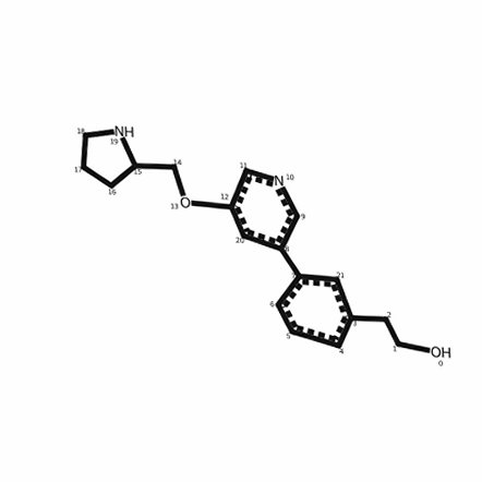 OCCc1cccc(-c2cncc(OCC3CCCN3)c2)c1